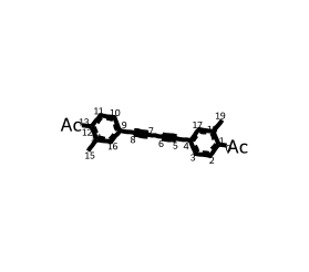 CC(=O)c1ccc(C#CC#Cc2ccc(C(C)=O)c(C)c2)cc1C